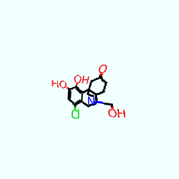 O=C1CCC2C3Cc4c(Cl)cc(O)c(O)c4C2(CCN3CO)C1